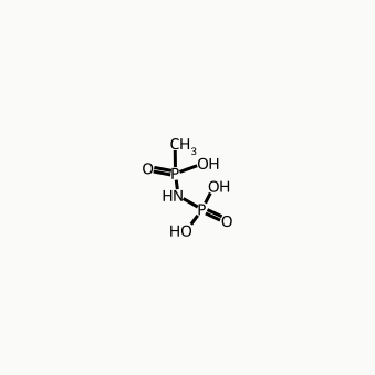 CP(=O)(O)NP(=O)(O)O